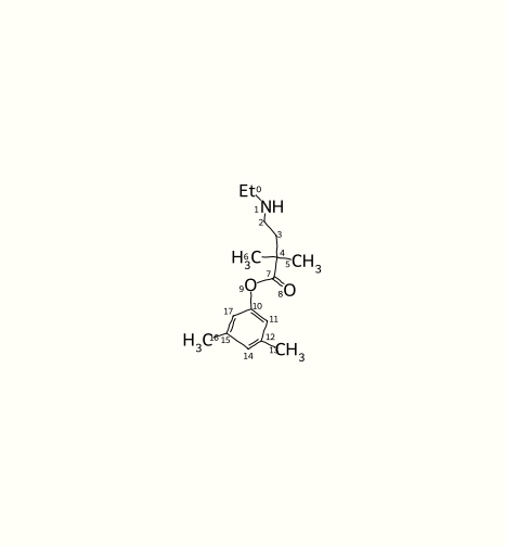 CCNCCC(C)(C)C(=O)Oc1cc(C)cc(C)c1